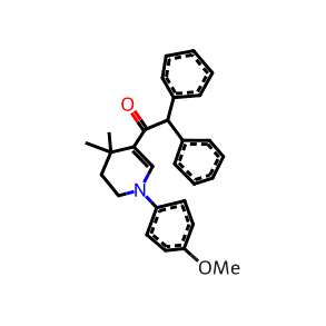 COc1ccc(N2C=C(C(=O)C(c3ccccc3)c3ccccc3)C(C)(C)CC2)cc1